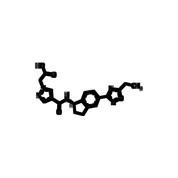 CCc1nc(-c2ccc3c(c2)CC[C@H]3NC(=O)c2cnn(CC(=O)O)c2)no1